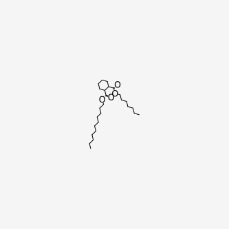 CCCCCCCCCCCOC(=O)C1CCCCC1C(=O)OCCCCCCC